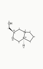 OC[C@H]1CN2CCC[C@H]2CO1